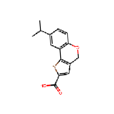 CC(C)c1ccc2c(c1)-c1sc(C(=O)O)cc1CO2